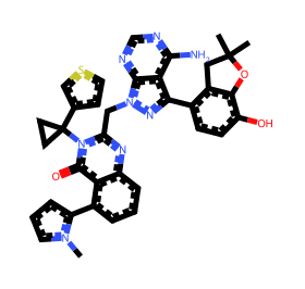 Cn1cccc1-c1cccc2nc(Cn3nc(-c4ccc(O)c5c4CC(C)(C)O5)c4c(N)ncnc43)n(C3(c4ccsc4)CC3)c(=O)c12